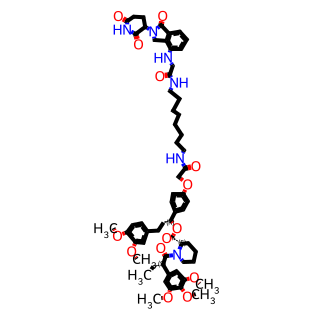 CC[C@H](C(=O)N1CCCC[C@H]1C(=O)O[C@H](CCc1ccc(OC)c(OC)c1)c1ccc(OCC(=O)NCCCCCCCCNC(=O)CNc2cccc3c2CN(C2CCC(=O)NC2=O)C3=O)cc1)c1cc(OC)c(OC)c(OC)c1